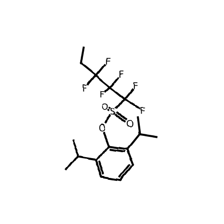 CCC(F)(F)C(F)(F)C(F)(F)S(=O)(=O)Oc1c(C(C)C)cccc1C(C)C